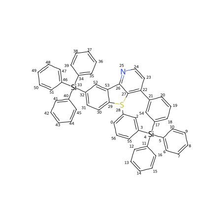 c1ccc([Si](c2ccccc2)(c2ccccc2)c2cccc(-c3ccnc4c3sc3ccc([Si](c5ccccc5)(c5ccccc5)c5ccccc5)cc34)c2)cc1